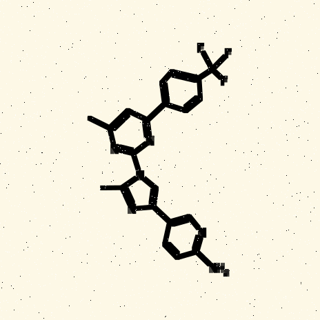 Cc1cc(-c2ccc(C(F)(F)F)cc2)nc(-n2cc(-c3ccc(N)nc3)nc2C)n1